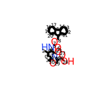 CC(C)[C@H](NC(=O)OCC1c2ccccc2-c2ccccc21)C(=O)N1[C@H](C(=O)O)COC1(C)C